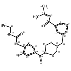 CC(C)=NC(=O)c1cccc(CN2CCN(C(=O)c3ccc(NC(=O)NCC(C)C)c(F)c3)CC2)c1